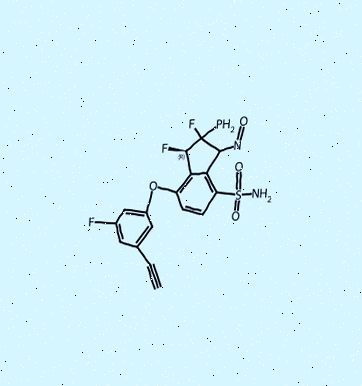 C#Cc1cc(F)cc(Oc2ccc(S(N)(=O)=O)c3c2[C@@H](F)C(F)(P)C3N=O)c1